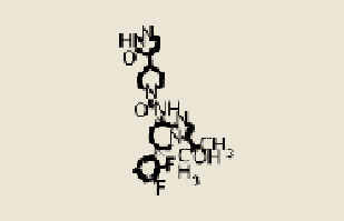 CC(C)(O)c1cnc2n1C[C@H](c1cccc(F)c1F)CC[C@H]2NC(=O)N1CCC(c2ccn[nH]c2=O)CC1